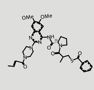 CC=CC(=O)N1CCN(c2nc(NC(=O)[C@@H]3CCCN3C(=O)C(C)CSC(=O)c3ccccc3)c3cc(OC)c(OC)cc3n2)CC1